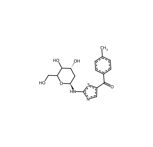 Cc1ccc(C(=O)c2cnc(N[C@@H]3C[C@@H](O)C(O)C(CO)O3)s2)cc1